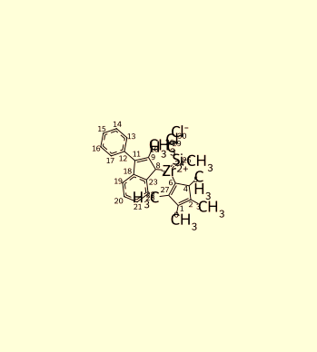 CC1=C(C)C(C)[C]([Zr+2]([CH]2C(C)=C(c3ccccc3)c3ccccc32)=[Si](C)C)=C1C.[Cl-].[Cl-]